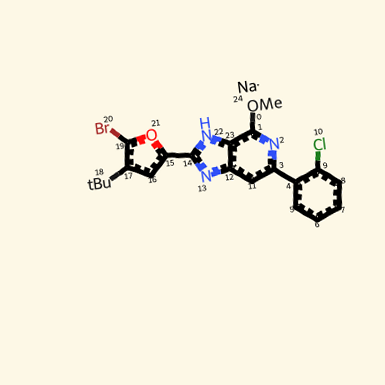 COc1nc(-c2ccccc2Cl)cc2nc(-c3cc(C(C)(C)C)c(Br)o3)[nH]c12.[Na]